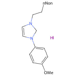 CCCCCCCCCCCN1C=CN(c2ccc(OC)cc2)C1.I